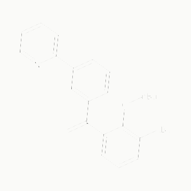 C=C(c1cccc(-c2ccccn2)c1)c1cccc(C(C)(C)C)c1OCCCC